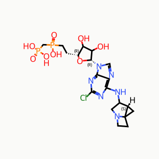 O=P(O)(O)CP(=O)(O)CC[C@H]1O[C@@H](n2cnc3c(NC4CN5CCC56C[C@@H]46)nc(Cl)nc32)C(O)C1O